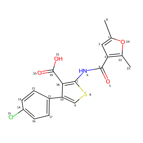 Cc1cc(C(=O)Nc2scc(-c3ccc(Cl)cc3)c2C(=O)O)c(C)o1